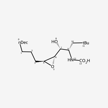 CCCCCCCCCCCCC[C@@H]1O[C@H]1[C@H](O)[C@H](CC(C)(C)C)NC(=O)O